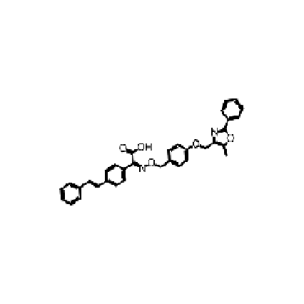 Cc1oc(-c2ccccc2)nc1COc1ccc(CON=C(C(=O)O)c2ccc(C=Cc3ccccc3)cc2)cc1